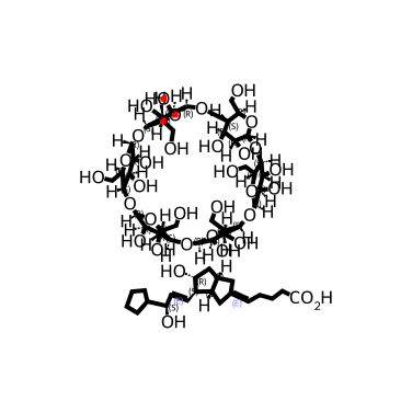 O=C(O)CCC/C=C1\C[C@H]2C[C@@H](O)[C@H](/C=C/[C@@H](O)C3CCCC3)[C@H]2C1.OC[C@H]1O[C@@H]2O[C@H]3[C@H](O)[C@@H](O)[C@@H](O[C@H]4[C@H](O)[C@@H](O)[C@@H](O[C@H]5[C@H](O)[C@@H](O)[C@@H](O[C@H]6[C@H](O)[C@@H](O)[C@@H](O[C@H]7[C@H](O)[C@@H](O)[C@@H](O[C@H]1[C@H](O)[C@H]2O)O[C@@H]7CO)O[C@@H]6CO)O[C@@H]5CO)O[C@@H]4CO)O[C@@H]3CO